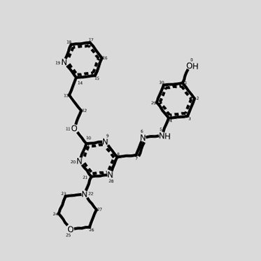 Oc1ccc(NN=Cc2nc(OCCc3ccccn3)nc(N3CCOCC3)n2)cc1